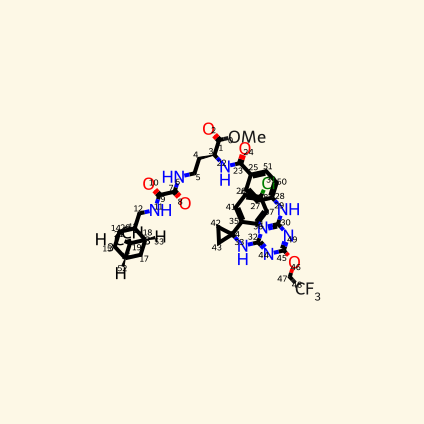 COC(=O)[C@H](CCNC(=O)C(=O)NCC1CC[C@H]2C[C@@H]1C2(C)C)NC(=O)c1ccc(Nc2nc(NC3(c4ccc(Cl)cc4)CC3)nc(OCC(F)(F)F)n2)cc1